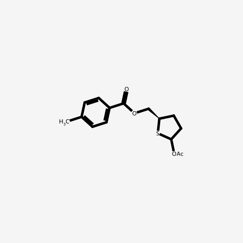 CC(=O)OC1CC[C@H](COC(=O)c2ccc(C)cc2)S1